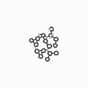 c1ccc(-c2cccc(-c3nc(-c4ccccn4)cc(-n4c5cc(-c6cccc(N(c7cc(-c8ccccc8)cc(-c8ccccc8)c7)c7ccc8c9ccccc9c9ccccc9c8c7)c6)ccc5c5c6c(ccc54)oc4cc5c7ccccc7c7ccccc7c5cc46)n3)c2)cc1